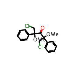 COC(CCl)(C(=O)C(CCl)(OC)c1ccccc1)c1ccccc1